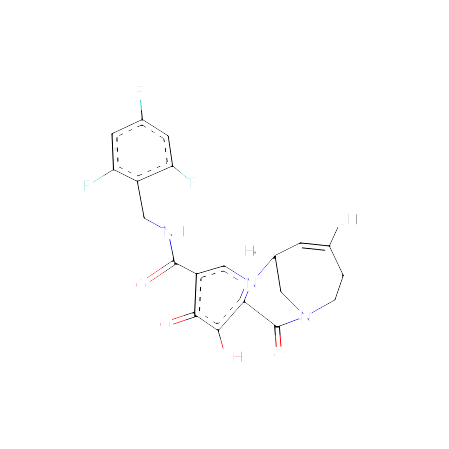 CC1=C[C@H]2CN(CC1)C(=O)c1c(O)c(=O)c(C(=O)NCc3c(F)cc(F)cc3F)cn12